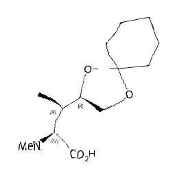 CN[C@H](C(=O)O)[C@@H](C)[C@@H]1COC2(CCCCC2)O1